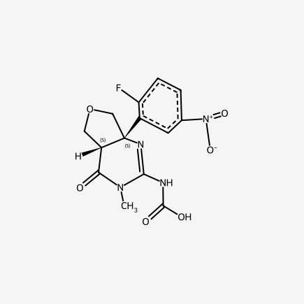 CN1C(=O)[C@@H]2COC[C@]2(c2cc([N+](=O)[O-])ccc2F)N=C1NC(=O)O